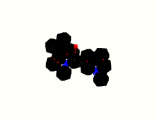 c1ccc(-c2ccccc2N(c2cccc3c2-c2ccccc2C3(c2ccccc2)c2ccccc2)c2ccc(-c3ccc4c(c3)C3(c5ccccc5-4)c4ccccc4-n4c5ccccc5c5cccc3c54)c3ccccc23)cc1